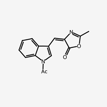 CC(=O)n1cc(C=C2N=C(C)OC2=O)c2ccccc21